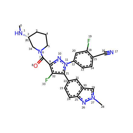 CN[C@@H]1CCCN(C(=O)c2nn(-c3ccc(C#N)c(F)c3)c(-c3ccc4nn(C)cc4c3)c2F)C1